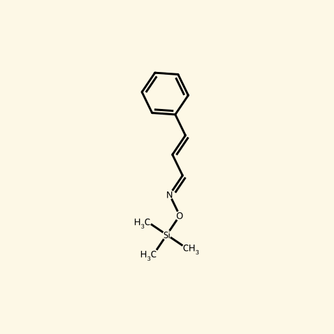 C[Si](C)(C)O/N=C/C=C/c1ccccc1